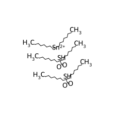 CCCCCCCCC(S)(CCCCCCCC)C(=O)[O-].CCCCCCCCC(S)(CCCCCCCC)C(=O)[O-].CCCCCCC[CH2][Sn+2][CH2]CCCCCCC